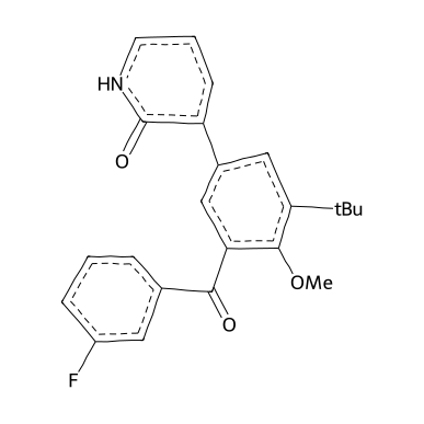 COc1c(C(=O)c2cccc(F)c2)cc(-c2ccc[nH]c2=O)cc1C(C)(C)C